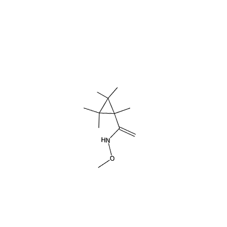 C=C(NOC)C1(C)C(C)(C)C1(C)C